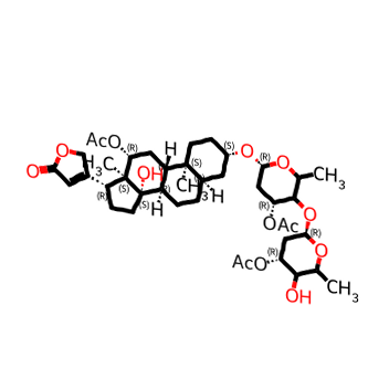 CC(=O)O[C@@H]1C[C@@H](OC2C(C)O[C@@H](O[C@H]3CC[C@@]4(C)[C@H](CC[C@@H]5[C@@H]4C[C@@H](OC(C)=O)[C@]4(C)[C@@H](C6=CC(=O)OC6)CC[C@]54O)C3)C[C@H]2OC(C)=O)OC(C)C1O